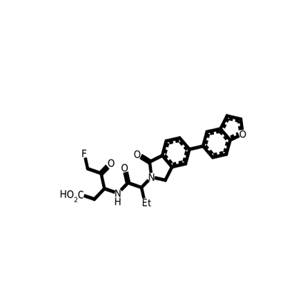 CCC(C(=O)NC(CC(=O)O)C(=O)CF)N1Cc2cc(-c3ccc4occc4c3)ccc2C1=O